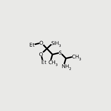 CCOC([SiH3])(OCC)C(C)SC(C)N